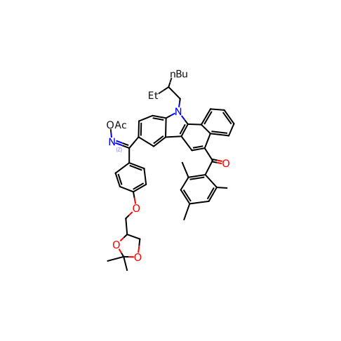 CCCCC(CC)Cn1c2ccc(/C(=N\OC(C)=O)c3ccc(OCC4COC(C)(C)O4)cc3)cc2c2cc(C(=O)c3c(C)cc(C)cc3C)c3ccccc3c21